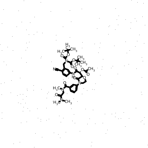 CC(=O)O[C@@H](C(=O)Nc1ccc(C#N)c(CN(C(=O)OC(C)(C)C)C(=O)OC(C)(C)C)c1)[C@H]1OCCN(c2cccc(C(=O)N(C)CC(=O)N(C)C)c2)C1=O